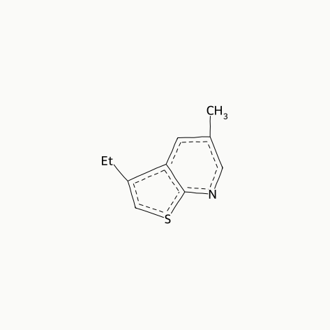 CCc1csc2ncc(C)cc12